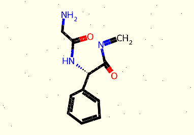 C=NC(=O)[C@@H](NC(=O)CN)c1ccccc1